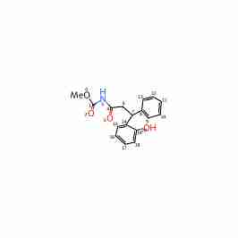 COC(=O)NC(=O)CC(c1ccccc1)c1ccccc1O